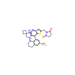 O=C1CCC(=O)N1Cc1cc2nccc(-c3cc(C(F)(F)F)cc4c3N([C@@H]3CNC5(CCC5)C3)CCC4)c2s1